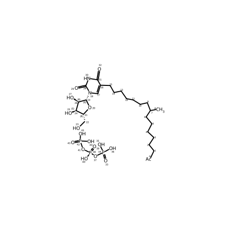 CC(=O)CCCCCCC(C)CCCCCCCc1cn([C@@H]2O[C@H](CO)[C@@H](O)[C@H]2O)c(=O)[nH]c1=O.O=P(O)(O)OP(=O)(O)OP(=O)(O)O